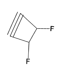 FC1C#CC1F